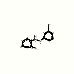 Ic1cccc([N]Nc2ccccc2I)c1